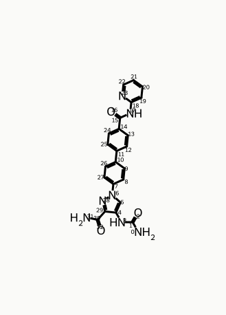 NC(=O)Nc1cn(-c2ccc(-c3ccc(C(=O)Nc4ccccn4)cc3)cc2)nc1C(N)=O